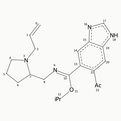 C=CCN1CCCC1C/N=C(\OC(C)C)c1cc2nc[nH]c2cc1C(C)=O